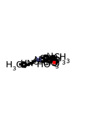 Cc1ccc(CNCCO/N=C2\C=C[C@@]3(C)C(=C2)CC[C@H]2[C@@H]4C[C@@H](C)[C@@]5(OCOC56COCO6)[C@@]4(C)C[C@H](O)[C@@]23Cl)cc1